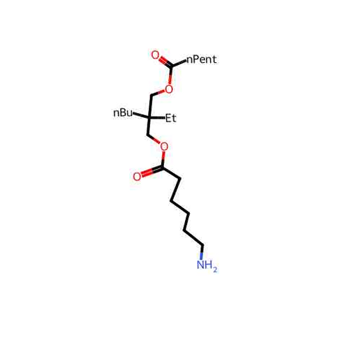 CCCCCC(=O)OCC(CC)(CCCC)COC(=O)CCCCCN